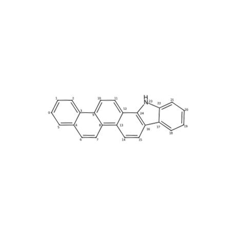 c1ccc2c(c1)ccc1c2ccc2c1ccc1c3ccccc3[nH]c12